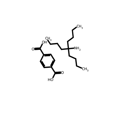 CCCCC(N)(CCCC)CCCC.O=C(O)c1ccc(C(=O)O)cc1